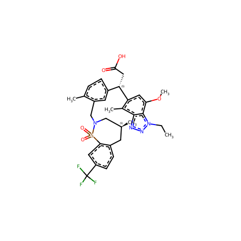 CCn1nnc2c(C)c([C@@H](CC(=O)O)c3ccc(C)c(CN4C[C@@H](C)Cc5ccc(C(F)(F)F)cc5S4(=O)=O)c3)cc(OC)c21